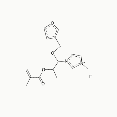 C=C(C)C(=O)OC(C)C(OCc1ccoc1)n1cc[n+](C)c1.[I-]